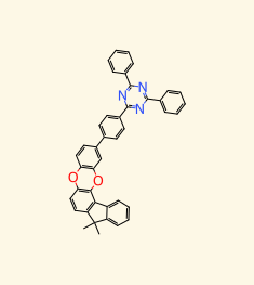 CC1(C)c2ccccc2-c2c1ccc1c2Oc2cc(-c3ccc(-c4nc(-c5ccccc5)nc(-c5ccccc5)n4)cc3)ccc2O1